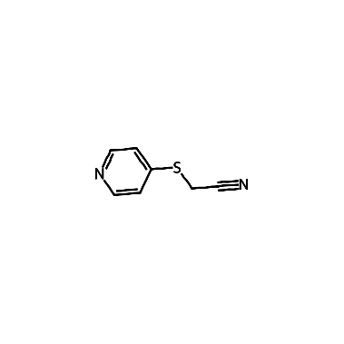 N#CCSc1ccncc1